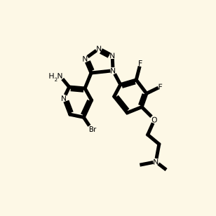 CN(C)CCOc1ccc(-n2nnnc2-c2cc(Br)cnc2N)c(F)c1F